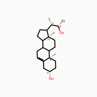 CC[C@H](O)[C@@H](C)C1CCC2C3CC=C4C[C@@H](O)CC[C@]4(C)C3CC[C@@]21C